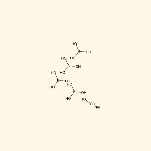 OB(O)O.OB(O)O.OB(O)O.OB(O)O.OO.[NaH]